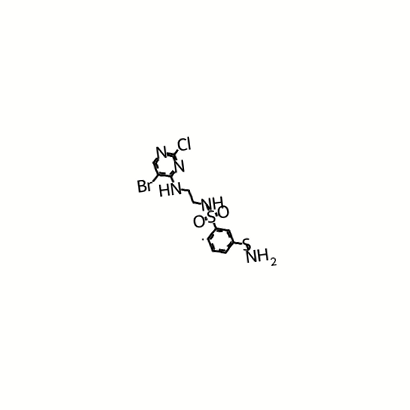 NSc1cc[c]c(S(=O)(=O)NCCNc2nc(Cl)ncc2Br)c1